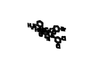 C[C@@]1(Cc2ccc(Br)cc2)C(=O)N(c2cc(Cl)cc(Cl)c2)c2ncc(S(=O)(=O)Nc3ccccc3N)n21